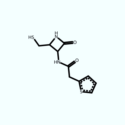 O=C(Cc1cccs1)NC1C(=O)NC1CS